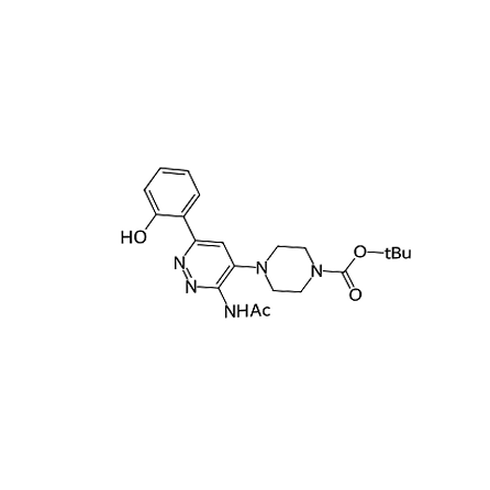 CC(=O)Nc1nnc(-c2ccccc2O)cc1N1CCN(C(=O)OC(C)(C)C)CC1